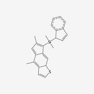 CC1=C([Si](C)(C)C2C=Cc3ccccc32)C2=CC3SC=CC3=C(C)C2=C1